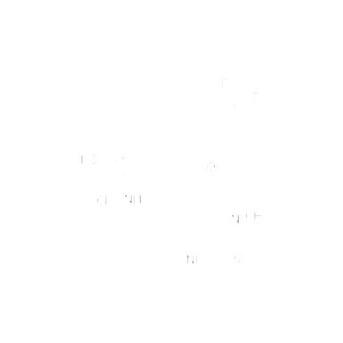 CC(C)S(=N)(=O)c1ccc(OC2CCC(F)(F)CC2)c(-c2cn(C)c(=O)c3[nH]ccc23)c1